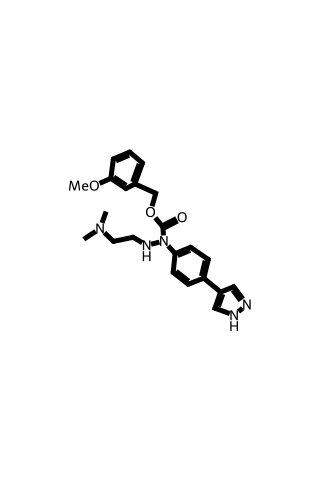 COc1cccc(COC(=O)N(NCCN(C)C)c2ccc(-c3cn[nH]c3)cc2)c1